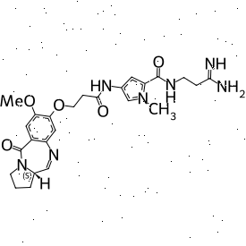 COc1cc2c(cc1OCCC(=O)Nc1cc(C(=O)NCCC(=N)N)n(C)c1)N=C[C@@H]1CCCN1C2=O